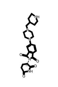 O=C1CC[C@H](N2C(=O)c3ccc(N4CCN(CC5CCNCC5)CC4)cc3C2=O)C(=O)N1